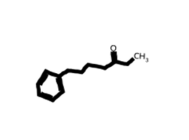 CCC(=O)CCCCc1ccccc1